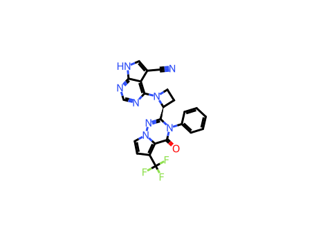 N#Cc1c[nH]c2ncnc(N3CC[C@H]3c3nn4ccc(C(F)(F)F)c4c(=O)n3-c3ccccc3)c12